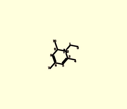 CCN1C(C)=CC(C)=CC1C